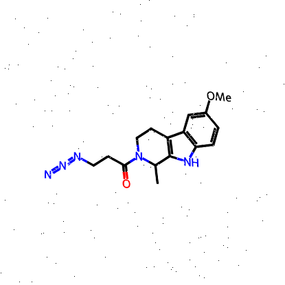 COc1ccc2[nH]c3c(c2c1)CCN(C(=O)CCN=[N+]=[N-])C3C